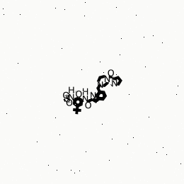 COc1c(NC(=O)c2cc3cccc(CN4CCCN(C(=O)[C@H]5CCCN5C)CC4)c3n2C)cc(C(C)(C)C)cc1NS(C)(=O)=O